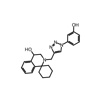 Oc1cccc(-n2cc(CN3CC(O)c4ccccc4C34CCCCC4)nn2)c1